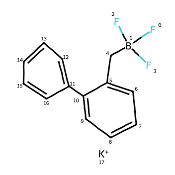 F[B-](F)(F)Cc1ccccc1-c1ccccc1.[K+]